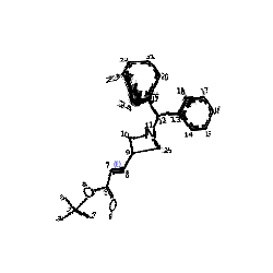 CC(C)(C)OC(=O)/C=C/C1CN(C(c2ccccc2)c2ccccc2)C1